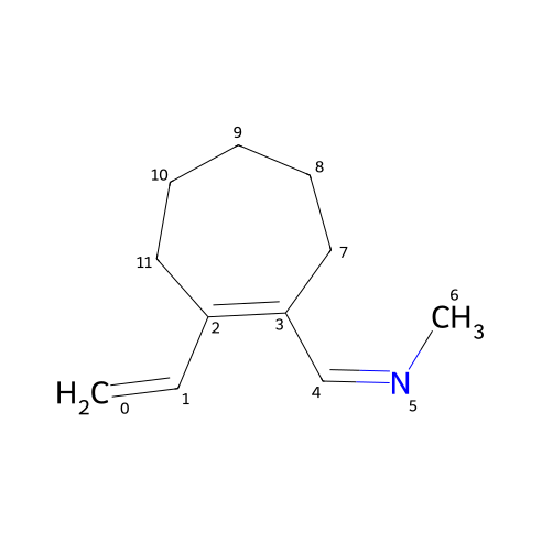 C=CC1=C(/C=N\C)CCCCC1